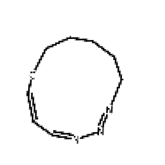 C1=CCCCCCCN=NN=C1